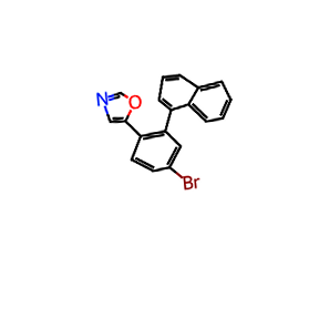 Brc1ccc(-c2cnco2)c(-c2cccc3ccccc23)c1